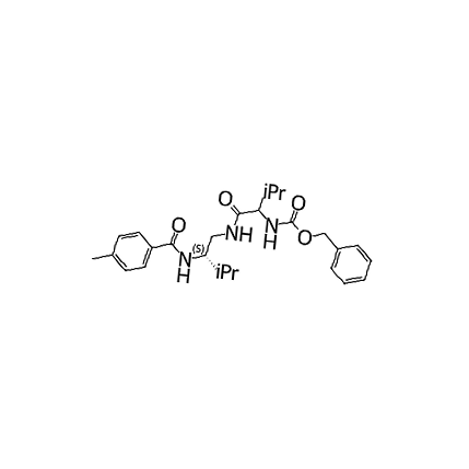 Cc1ccc(C(=O)N[C@H](CNC(=O)C(NC(=O)OCc2ccccc2)C(C)C)C(C)C)cc1